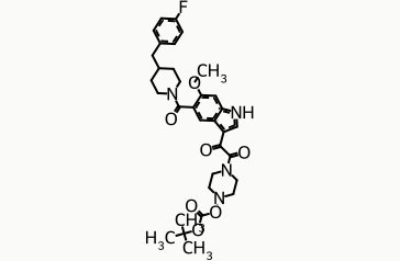 COc1cc2[nH]cc(C(=O)C(=O)N3CCN(OC(=O)OC(C)(C)C)CC3)c2cc1C(=O)N1CCC(Cc2ccc(F)cc2)CC1